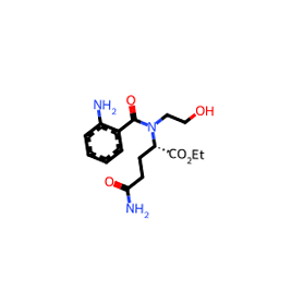 CCOC(=O)[C@H](CCC(N)=O)N(CCO)C(=O)c1ccccc1N